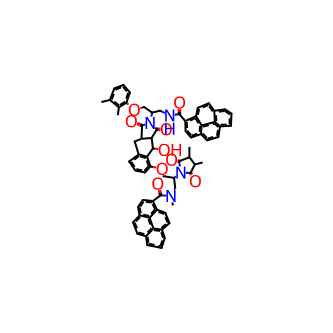 Cc1cccc(OCC(CNC(=O)c2ccc3ccc4cccc5ccc2c3c45)N2C(=O)C3Cc4cccc(OCC(CN(C)C(=O)c5ccc6ccc7cccc8ccc5c6c78)N5C(=O)C(C)C(C)C5=O)c4C(O)C3C2=O)c1C